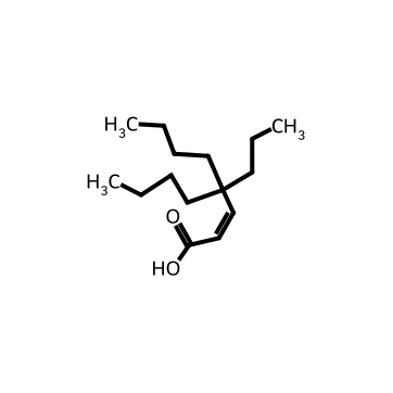 CCCCC(/C=C\C(=O)O)(CCC)CCCC